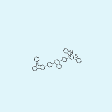 c1ccc(-n2c3ccccc3c3ccc(-c4ccc(-c5ccc(-c6ccc(-c7cc8c9ccccc9sc8c8nc9ccccc9n78)cc6)c6ccccc56)cc4)cc32)cc1